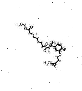 CCOC(=O)CNCCCCCS(=O)(=O)N[C@@H](C)c1ccc(F)c(OCCC2C[C@H]2C)c1